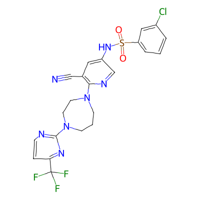 N#Cc1cc(NS(=O)(=O)c2cccc(Cl)c2)cnc1N1CCCN(c2nccc(C(F)(F)F)n2)CC1